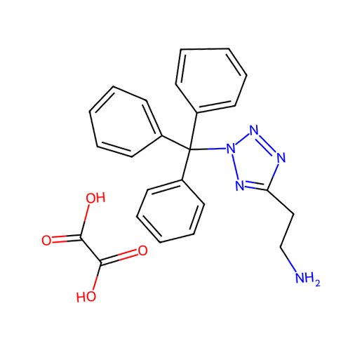 NCCc1nnn(C(c2ccccc2)(c2ccccc2)c2ccccc2)n1.O=C(O)C(=O)O